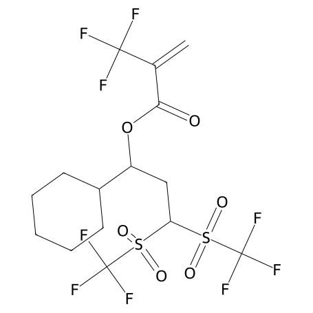 C=C(C(=O)OC(CC(S(=O)(=O)C(F)(F)F)S(=O)(=O)C(F)(F)F)C1CCCCC1)C(F)(F)F